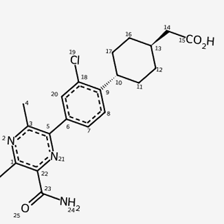 Cc1nc(C)c(-c2ccc([C@H]3CC[C@H](CC(=O)O)CC3)c(Cl)c2)nc1C(N)=O